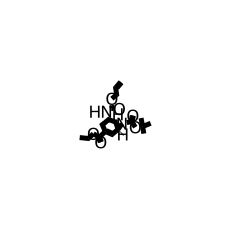 C=CCOC(=O)N[C@H]1CC(C(=O)OCC)=C[C@H]2[C@@H]1N2C(=O)OC(C)(C)C